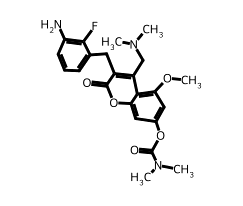 COc1cc(OC(=O)N(C)C)cc2oc(=O)c(Cc3cccc(N)c3F)c(CN(C)C)c12